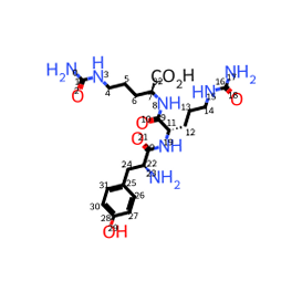 NC(=O)NCCC[C@H](NC(=O)[C@H](CCCNC(N)=O)NC(=O)[C@@H](N)Cc1ccc(O)cc1)C(=O)O